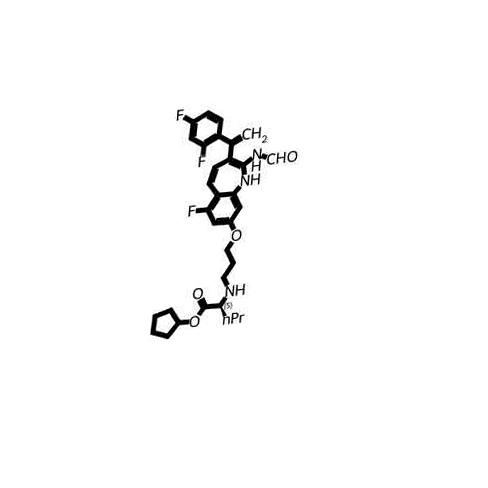 C=C(C1=C(NC=O)Nc2cc(OCCCN[C@@H](CCC)C(=O)OC3CCCC3)cc(F)c2C=C1)c1ccc(F)cc1F